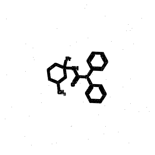 CC1CCCC(NC(=O)N(c2ccccc2)c2ccccc2)(C(C)C)C1